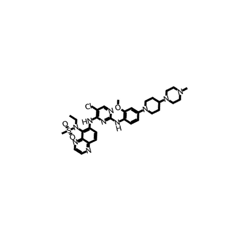 CCN(c1c(Nc2nc(Nc3ccc(N4CCC(N5CCN(C)CC5)CC4)cc3OC)ncc2Cl)ccc2nccnc12)S(C)(=O)=O